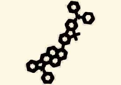 CC1(C)c2cc(-c3ccc4ccc5c6c(ccc3c46)cc3c4ccccc4n(-c4ccccc4)c35)ccc2-c2ccc(N(C3=CC=CCC3)c3ccccc3)cc21